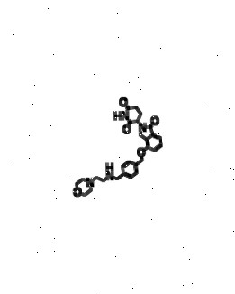 O=C1CCC(N2Cc3c(OCc4ccc(CNCCN5CCOCC5)cc4)cccc3C2=O)C(=O)N1